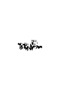 CCCCOc1nc(N)nc2c1ncn2[C@@H]1O[C@@H]2CO[P@](=O)(OC(C)C)OC2[C@@]1(C)F